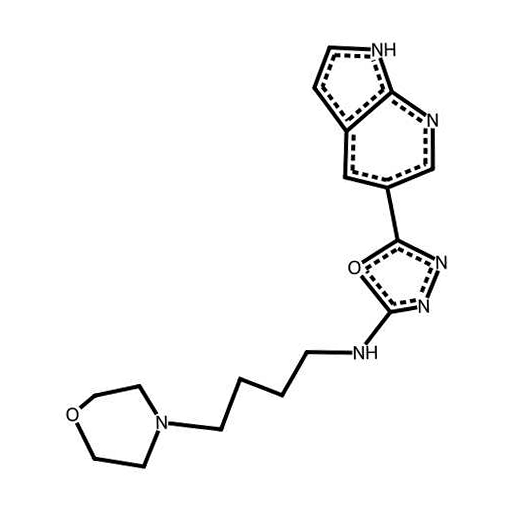 c1cc2cc(-c3nnc(NCCCCN4CCOCC4)o3)cnc2[nH]1